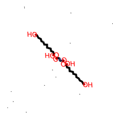 O=C(/C=C/C(=O)OC(O)CCCCCCCCCCCO)OC(O)CCCCCCCCCCCO